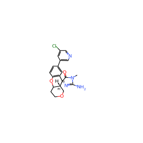 CN1C(=O)[C@]2(N=C1N)c1cc(-c3cncc(Cl)c3)ccc1OC1CCOC[C@H]12